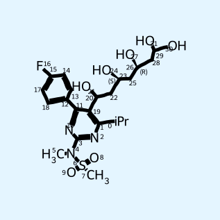 CC(C)c1nc(N(C)S(C)(=O)=O)nc(-c2ccc(F)cc2)c1C(O)C[C@@H](O)C[C@@H](O)CC(O)O